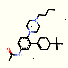 CCCCN1CCN(c2ccc(NC(C)=O)cc2C2=CCC(C(C)(C)C)CC2)CC1